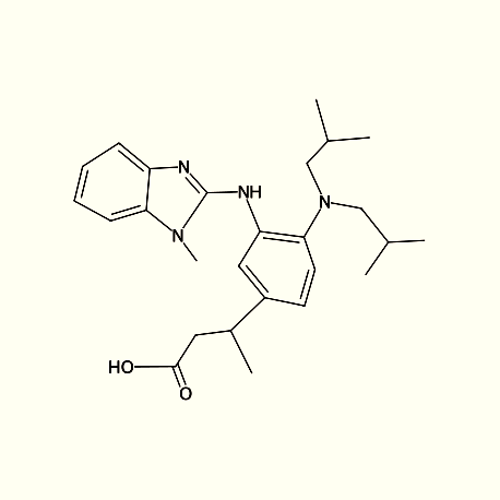 CC(C)CN(CC(C)C)c1ccc(C(C)CC(=O)O)cc1Nc1nc2ccccc2n1C